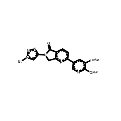 CCn1cc(N2Cc3nc(-c4cnc(OC)c(OC)c4)ccc3C2=O)nn1